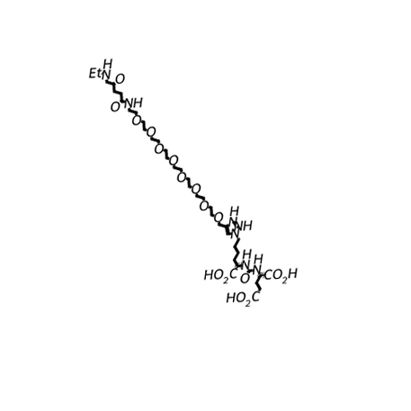 CCNCC(=O)CCC(=O)NCCOCCOCCOCCOCCOCCOCCOCCOCC1=CN(CCCC[C@H](NC(=O)N[C@H](CCC(=O)O)C(=O)O)C(=O)O)NN1